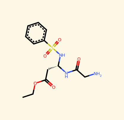 CCOC(=O)C[C@@H](NC(=O)CN)NS(=O)(=O)c1ccccc1